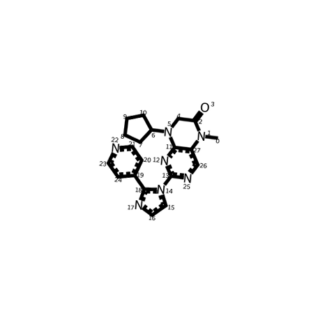 CN1C(=O)CN(C2CCCC2)c2nc(-n3ccnc3-c3ccncc3)ncc21